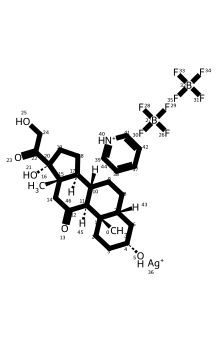 C[C@]12CC[C@@H](O)C[C@H]1CC[C@@H]1[C@@H]2C(=O)C[C@@]2(C)[C@H]1CC[C@]2(O)C(=O)CO.F[B-](F)(F)F.F[B-](F)(F)F.[Ag+].c1cc[nH+]cc1